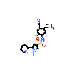 Cc1cc(NS(=O)(=O)c2c[nH]c(-c3ccccn3)c2)c(F)cc1C#N